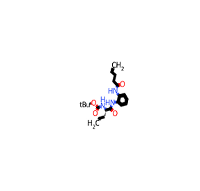 C=CCCC(=O)Nc1ccccc1NC(=O)[C@H](CC=C)NC(=O)OC(C)(C)C